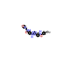 Cc1c(NC(=O)c2ccc(C(C)(C)C)cc2)cccc1-c1ncnc(Nc2ccc(C(=O)NCCN3CCOCC3)cc2)n1